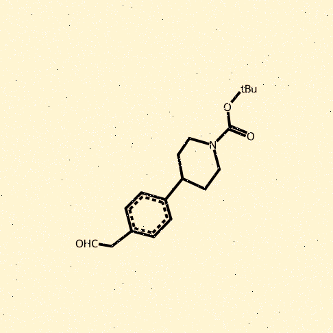 CC(C)(C)OC(=O)N1CCC(c2ccc(CC=O)cc2)CC1